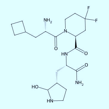 NC(=O)[C@H](C[C@@H]1CCNC1O)NC(=O)[C@@H]1CC(F)(F)CCN1C(=O)[C@@H](N)CC1CCC1